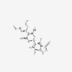 CCCC(=NOCC)C1=C(O)CC(c2c(C)c(C)c3c(c2C)C(=O)CO3)CC1=O